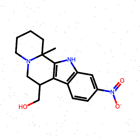 CC12CCCCN1CC(CO)c1c2[nH]c2cc([N+](=O)[O-])ccc12